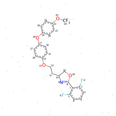 Fc1cccc(F)c1C1=NC(CCOc2ccc(Oc3ccc(OC(F)(F)F)cc3)cc2)CO1